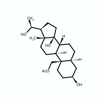 CC(=O)OC[C@]12CC[C@H](O)C[C@@H]1CC[C@@H]1[C@@H]2CC[C@]2(C)[C@@H]([C@H](C)O)CC[C@]12O